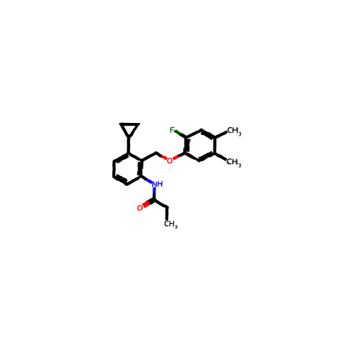 CCC(=O)Nc1cccc(C2CC2)c1COc1cc(C)c(C)cc1F